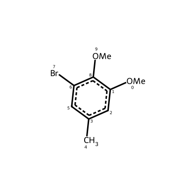 COc1cc(C)cc(Br)c1OC